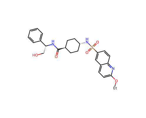 CCOc1ccc2cc(S(=O)(=O)N[C@H]3CC[C@H](C(=O)N[C@H](CO)c4ccccc4)CC3)ccc2n1